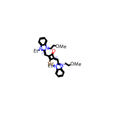 CCN1/C(=C/C2=C(S)C(=C\c3n(CC)c4ccccc4[n+]3CCOC)/C2=O)N(CCOC)c2ccccc21